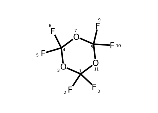 FC1(F)OC(F)(F)OC(F)(F)O1